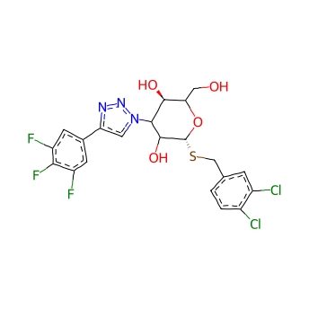 OCC1O[C@H](SCc2ccc(Cl)c(Cl)c2)C(O)C(n2cc(-c3cc(F)c(F)c(F)c3)nn2)[C@H]1O